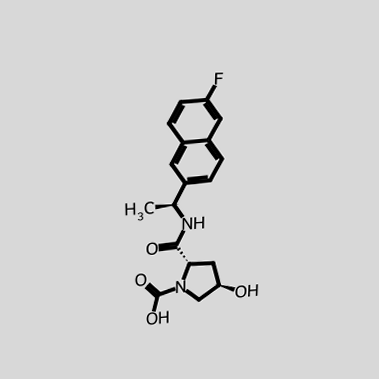 C[C@H](NC(=O)[C@@H]1C[C@@H](O)CN1C(=O)O)c1ccc2cc(F)ccc2c1